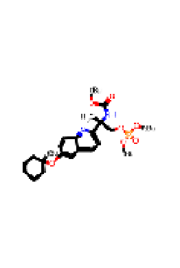 CC(C)(C)OC(=O)NC(C)(COP(=O)(OC(C)(C)C)OC(C)(C)C)c1ccc2cc(OC3(C(C)(C)C)CCCCC3)ccc2n1